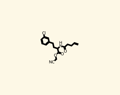 C=CCCC(=O)NC(CCc1cccc(Cl)c1)C(=O)OCC#N